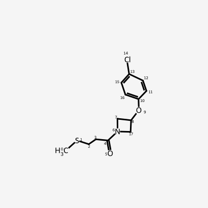 CSCCC(=O)N1CC(Oc2ccc(Cl)cc2)C1